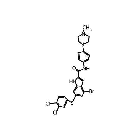 CN1CCN(c2ccc(NC(=O)c3cc4c(Br)cc(Sc5ccc(Cl)c(Cl)c5)cc4[nH]3)cc2)CC1